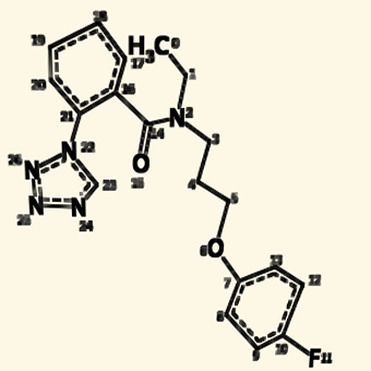 CCN(CCCOc1ccc(F)cc1)C(=O)c1ccccc1-n1cnnn1